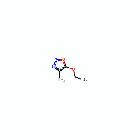 CCCCCOc1onnc1C